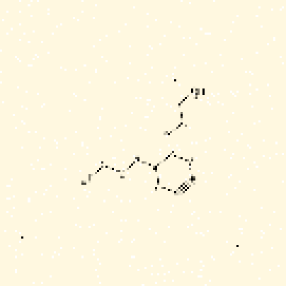 OCCC[C@@H]1CC#CCC1CCCI